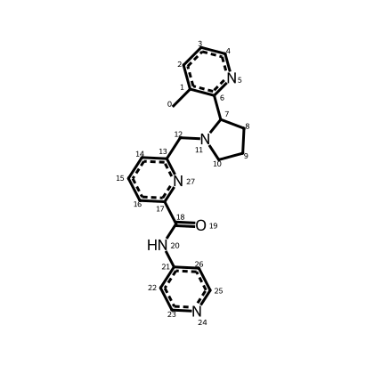 Cc1cccnc1C1CCCN1Cc1cccc(C(=O)Nc2ccncc2)n1